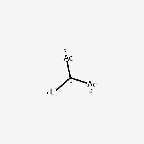 [Li][CH](C(C)=O)C(C)=O